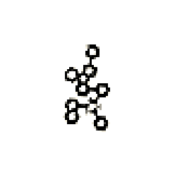 c1ccc(-c2nc(-c3ccccc3-c3cccc4c3-c3ccc(-c5cccnc5)cc3C43CCCCC3)nc(-c3cccc4ccccc34)n2)cc1